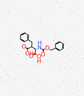 O=C(N[C@H](C(=O)O)C(Cc1ccccc1)C(=O)O)OCc1ccccc1